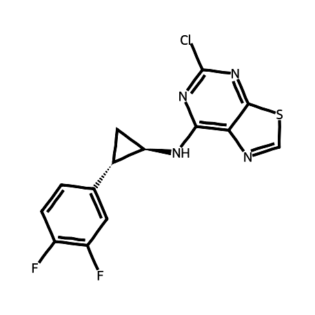 Fc1ccc([C@@H]2C[C@H]2Nc2nc(Cl)nc3scnc23)cc1F